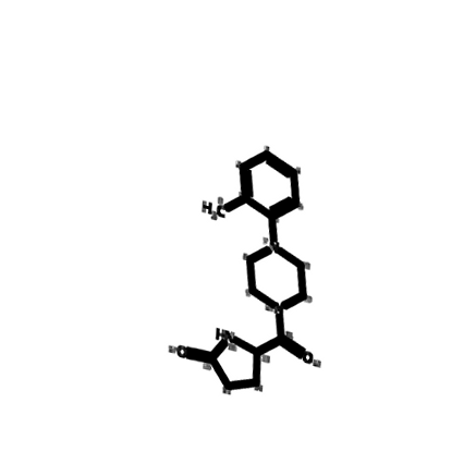 Cc1ccccc1N1CCN(C(=O)C2CCC(=O)N2)CC1